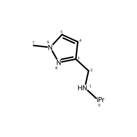 CC(C)NCc1ccn(C)n1